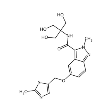 Cc1ncc(COc2ccc3nn(C)c(C(=O)NC(CO)(CO)CO)c3c2)s1